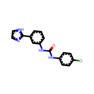 O=C(Nc1ccc(Cl)cc1)Nc1cccc(-c2ncc[nH]2)c1